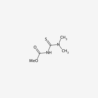 COC(=O)NC(=S)N(C)C